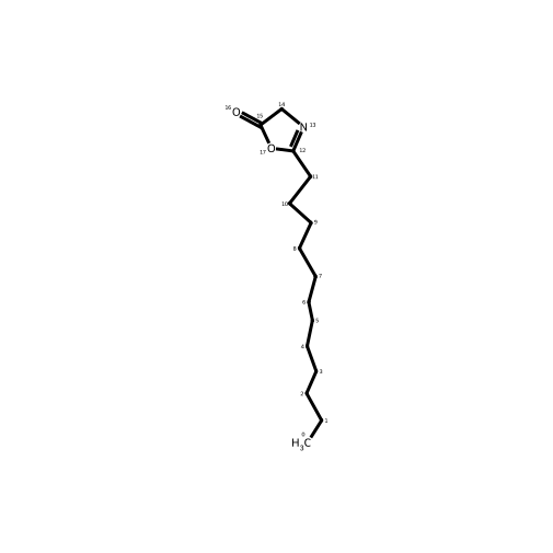 CCCCCCCCCCCCC1=NCC(=O)O1